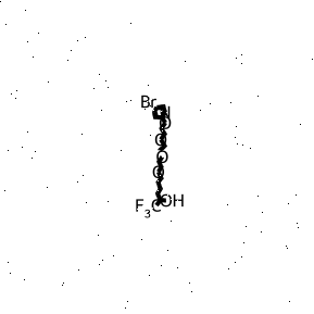 OC(CCCCOCCOCCOCCOc1ccc(Br)cn1)C(F)(F)F